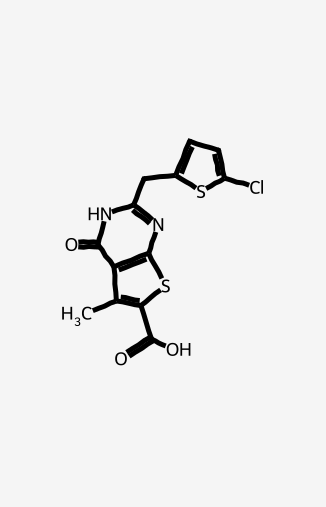 Cc1c(C(=O)O)sc2nc(Cc3ccc(Cl)s3)[nH]c(=O)c12